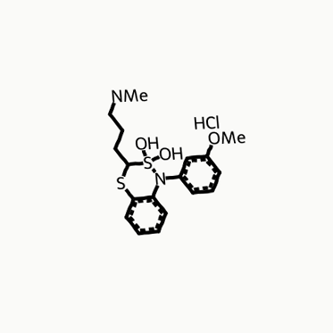 CNCCCC1Sc2ccccc2N(c2cccc(OC)c2)S1(O)O.Cl